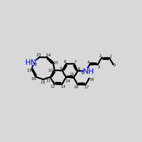 C/C=C\C=C\Nc1ccc2c3c(ccc2c1/C=C\C)C/C=C\NC/C=C\3